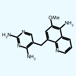 COc1cc(Cc2cnc(N)nc2N)c2ncccc2c1N